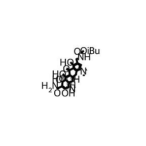 CC(C)COC(=O)NCc1cc(N(C)C)c2c(c1O)C(=O)C1=C(O)[C@]3(O)C(=O)C(C(N)=O)=C(O)[C@H](N(C)C)[C@H]3C[C@H]1C2